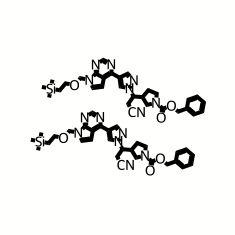 C[Si](C)(C)CCOCn1ccc2c(-c3cnn(C(CC#N)C4CCN(C(=O)OCc5ccccc5)C4)c3)ncnc21.C[Si](C)(C)CCOCn1ccc2c(-c3cnn(C(CC#N)C4CCN(C(=O)OCc5ccccc5)C4)c3)ncnc21